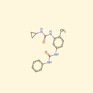 Cc1ccc(NC(=O)Nc2ccccc2)cc1NC(=O)NC1CC1